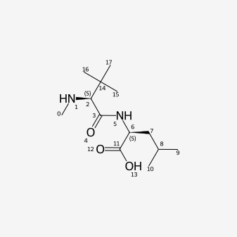 CN[C@H](C(=O)N[C@@H](CC(C)C)C(=O)O)C(C)(C)C